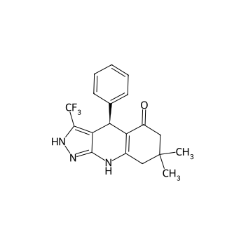 CC1(C)CC(=O)C2=C(C1)Nc1n[nH]c(C(F)(F)F)c1[C@H]2c1ccccc1